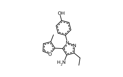 CCc1nn(-c2ccc(O)cc2)c(-c2occc2C)c1N